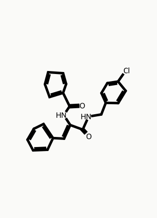 O=C(NCc1ccc(Cl)cc1)/C(=C/c1ccccc1)NC(=O)c1ccccc1